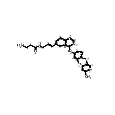 Cc1ccc(Oc2ccc(Nc3ncnc4ccc(/C=C/CNC(=O)CCN)cc34)cc2C)cn1